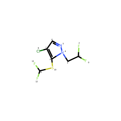 FC(F)Cn1n[c]c(Cl)c1SC(F)F